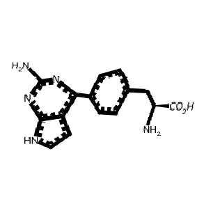 Nc1nc(-c2ccc(C[C@H](N)C(=O)O)cc2)c2cc[nH]c2n1